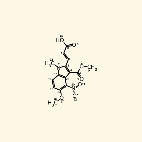 COC(=O)c1c(/C=C/C(=O)O)n(C)c2ccc(OC)c([N+](=O)[O-])c12